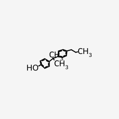 CCCc1ccc(C(C)(C)c2ccc(O)cc2)cc1